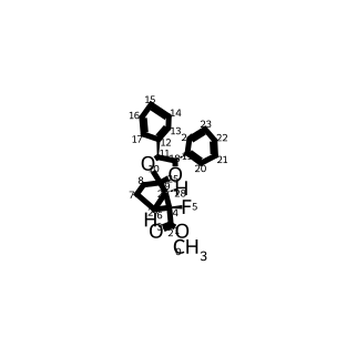 COC(=O)[C@]1(F)[C@H]2CCC3(O[C@@H](c4ccccc4)[C@H](c4ccccc4)O3)[C@H]21